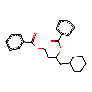 O=C(OCCC(CC1CCCCC1)OC(=O)c1ccccc1)c1ccccc1